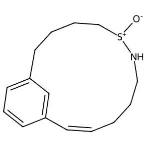 [O-][S+]1CCCCc2cccc(c2)C=CCCCN1